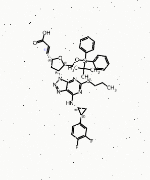 CCCSc1nc(N[C@@H]2C[C@H]2c2ccc(F)c(F)c2)c2nnn([C@@H]3C[C@H](/C=C/C(=O)O)O[C@H]3CO[Si](c3ccccc3)(c3ccccc3)C(C)(C)C)c2n1